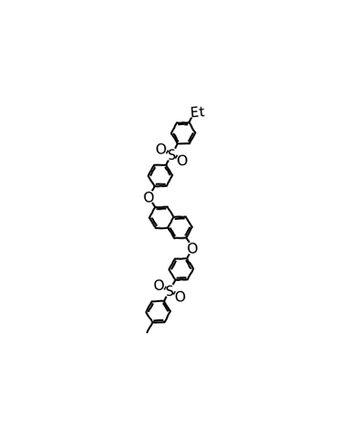 CCc1ccc(S(=O)(=O)c2ccc(Oc3ccc4cc(Oc5ccc(S(=O)(=O)c6ccc(C)cc6)cc5)ccc4c3)cc2)cc1